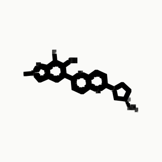 Cn1cc2cc(-c3ccc4nc(N5CC[C@H](N)C5)ccc4n3)c(O)c(F)c2n1